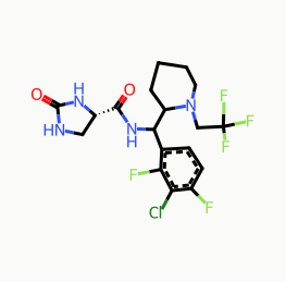 O=C1NC[C@@H](C(=O)NC(c2ccc(F)c(Cl)c2F)C2CCCCN2CC(F)(F)F)N1